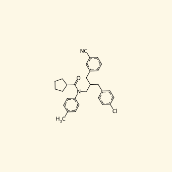 Cc1ccc(N(CC(Cc2ccc(Cl)cc2)Cc2cccc(C#N)c2)C(=O)C2CCCC2)cc1